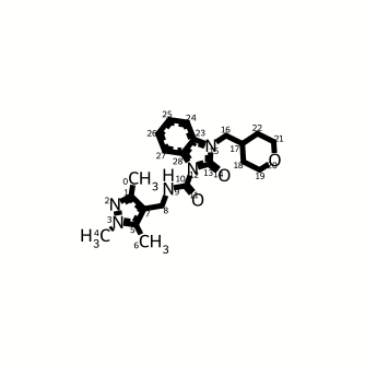 Cc1nn(C)c(C)c1CNC(=O)n1c(=O)n(CC2CCOCC2)c2ccccc21